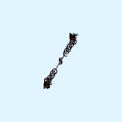 [N-]=[N+]=Nc1c(F)c(F)c(C(=O)OCCOCCOCCOCCOCCCCCCCCCCCSSCCCCCCCCCCCOCCOCCOCCOCCOC(=O)c2c(F)c(F)c(N=[N+]=[N-])c(F)c2F)c(F)c1F